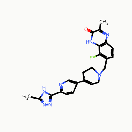 Cc1nnc(-c2ccc(C3=CCN(Cc4ccc5nc(C)c(=O)[nH]c5c4F)CC3)cn2)[nH]1